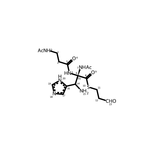 CC(=O)NCCC(=O)N[C@](NC(C)=O)(C(=O)SCCC=O)C(N)c1cnc[nH]1